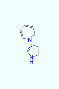 C1=CNCC1.c1ccncc1